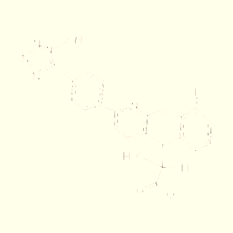 Cn1nnnc1-c1ccc(-c2ccc3c(n2)Oc2c(F)cccc2C3C(C)(C)C(=O)O)cc1